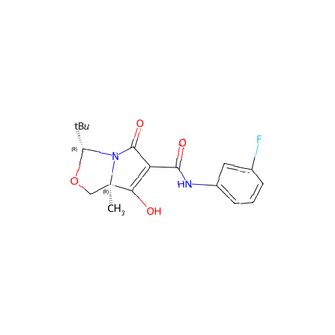 CC(C)(C)[C@H]1OC[C@]2(C)C(O)=C(C(=O)Nc3cccc(F)c3)C(=O)N12